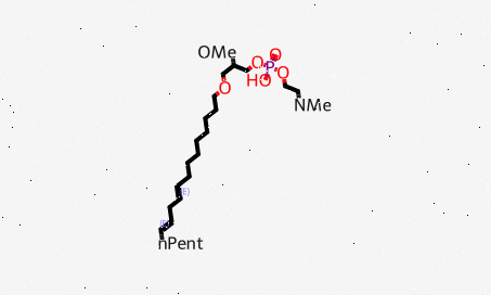 CCCCC/C=C/C/C=C/CCCCCCCCOCC(COP(=O)(O)OCCNC)OC